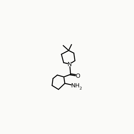 CC1(C)CCN(C(=O)C2CCCCC2N)CC1